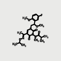 COc1ccc(F)cc1C(Cn1cc(/C(C)=N/OC(C)C)c(=O)n(N(C)C(=O)C(C)C)c1=O)OC